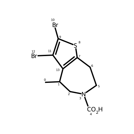 CC1CN(C(=O)O)CCc2sc(Br)c(Br)c21